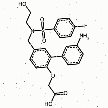 Nc1cccc(-c2cc(CN(CCO)S(=O)(=O)c3ccc(F)cc3)ccc2OCC(=O)O)c1